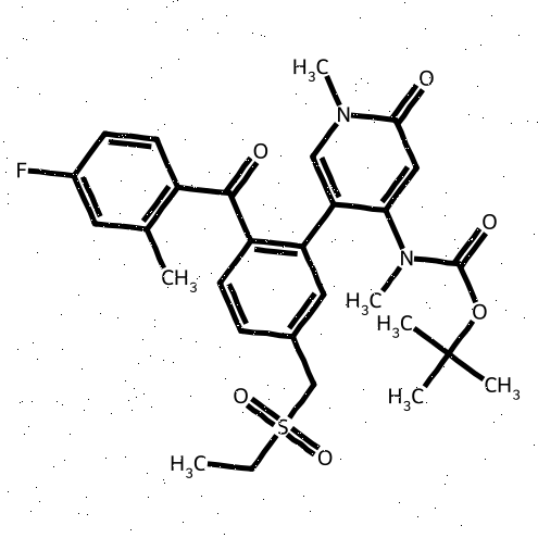 CCS(=O)(=O)Cc1ccc(C(=O)c2ccc(F)cc2C)c(-c2cn(C)c(=O)cc2N(C)C(=O)OC(C)(C)C)c1